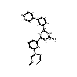 C=N/C=C(\C=C/C)c1cccc(-c2nc(Cl)nc(-c3cccc(-c4cccnc4)c3)n2)c1